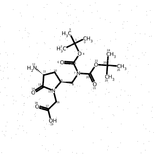 CC(C)(C)OC(=O)N(C[C@@H]1C[C@@H](N)C(=O)N1CC(=O)O)C(=O)OC(C)(C)C